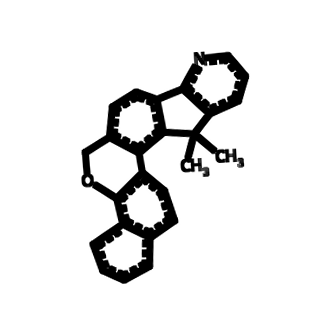 CC1(C)c2cccnc2-c2ccc3c(c21)-c1ccc2ccccc2c1OC3